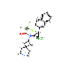 CC/C(=C\c1ccccc1)C1CC1N(C(=O)C(F)(F)F)C1CC2(CCNCC2)C1.Cl